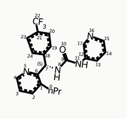 CCCc1cccnc1[C@@H](NC(=O)Nc1cccnc1)c1ccc(C(F)(F)F)cc1